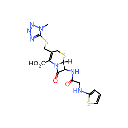 Cn1nnnc1SCC1=C(C(=O)O)N2C(=O)C(NC(=O)CNc3cccs3)[C@H]2SC1